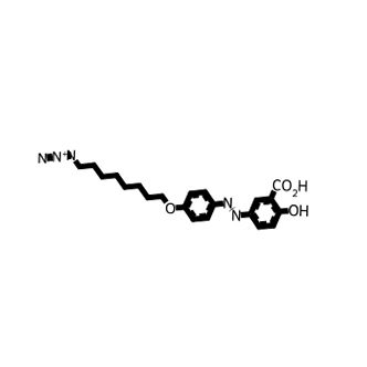 [N-]=[N+]=NCCCCCCCCOc1ccc(N=Nc2ccc(O)c(C(=O)O)c2)cc1